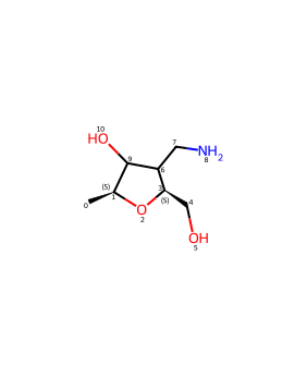 C[C@@H]1O[C@H](CO)C(CN)C1O